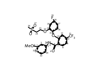 COc1cc(NC(=O)c2ccc(C(F)(F)F)cc2Oc2ccc(F)cc2OCCS(C)(=O)=O)ccn1